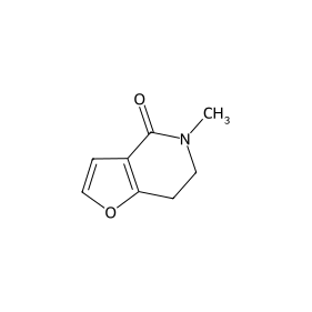 CN1CCc2occc2C1=O